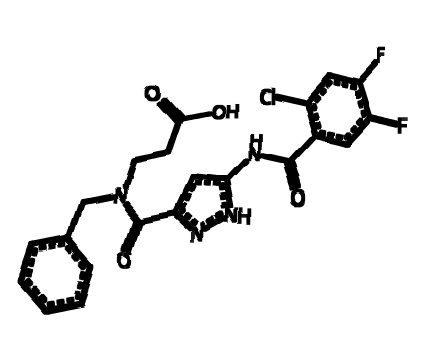 O=C(O)CCN(Cc1ccccc1)C(=O)c1cc(NC(=O)c2cc(F)c(F)cc2Cl)[nH]n1